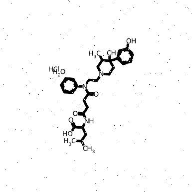 CC(C)CC(NC(=O)CCC(=O)N(CCN1CCC(C)(c2cccc(O)c2)C(C)C1)c1ccccc1)C(=O)O.Cl.O